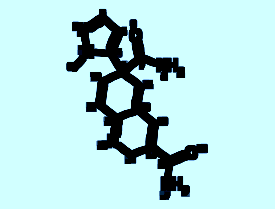 Cn1nccc1C1(C(N)=O)C=CC2=NCC(C(N)=O)=CC2=C1